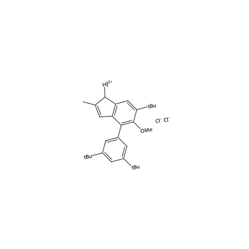 COc1c(C(C)(C)C)cc2c(c1-c1cc(C(C)(C)C)cc(C(C)(C)C)c1)C=C(C)[CH]2[Hf+2].[Cl-].[Cl-]